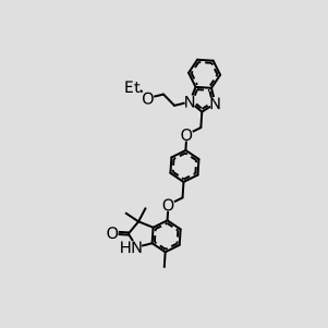 CCOCCn1c(COc2ccc(COc3ccc(C)c4c3C(C)(C)C(=O)N4)cc2)nc2ccccc21